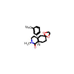 COc1cccc([C@@]23CCN(C)C(=O)[C@@H]2CCC2(C3)OCCO2)c1